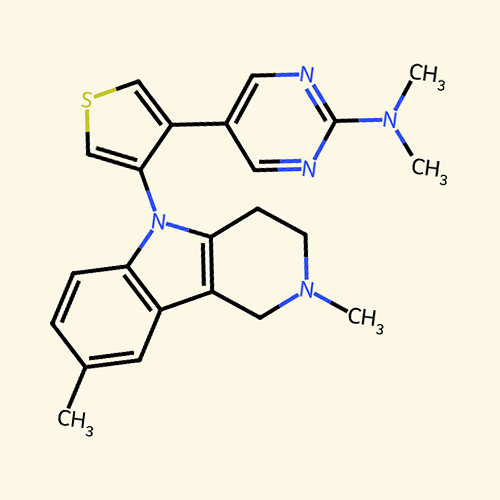 Cc1ccc2c(c1)c1c(n2-c2cscc2-c2cnc(N(C)C)nc2)CCN(C)C1